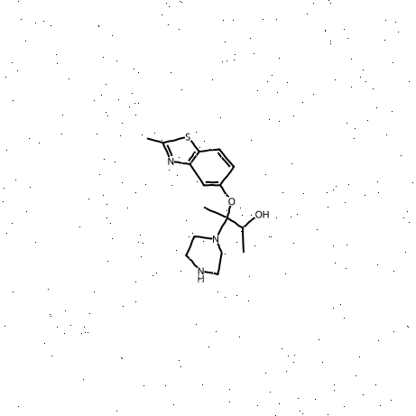 Cc1nc2cc(OC(C)(C(C)O)N3CCNCC3)ccc2s1